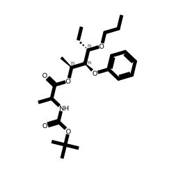 CCCO[C@@H](CC)[C@@H](Oc1ccccc1)[C@H](C)OC(=O)C(C)NC(=O)OC(C)(C)C